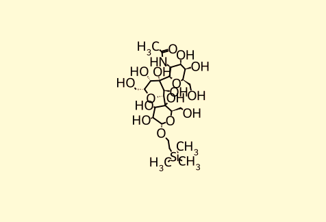 CC(=O)N[C@H]1[C@@H](O)[C@@H](O)[C@@H](CO)O[C@H]1[C@@]1(O)[C@@H](O)[C@H]([C@@]2(O)[C@H](O)[C@@H](O)[C@@H](OCC[Si](C)(C)C)O[C@@H]2CO)O[C@H](CO)[C@@H]1O